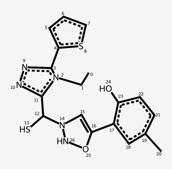 CCn1c(-c2cccs2)nnc1C(S)N1C=C(c2cc(C)ccc2O)ON1